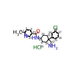 Cc1ccc(C(=O)NC2CCC(CN)(c3cccc(Cl)c3)CC2)cn1.Cl